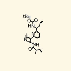 C=CC[C@H](NC(=O)OC(C)(C)C)c1cccc(-c2c(NC(=O)[C@H](C)C=C)cnn2C)n1